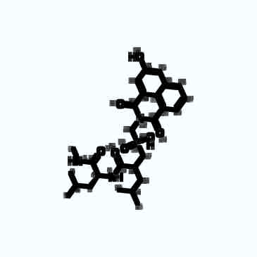 CNC(=O)[C@H](CC(C)C)NC(=O)C(CC(C)C)CP(=O)(O)CN1C(=O)c2cccc3cc(O)cc(c23)C1=O